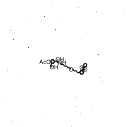 CC(=O)Oc1ccc([C@@H](O)CNCCCCCCOCCCCc2cccc(S(=O)(=O)C3CCCC3)c2)cc1CO